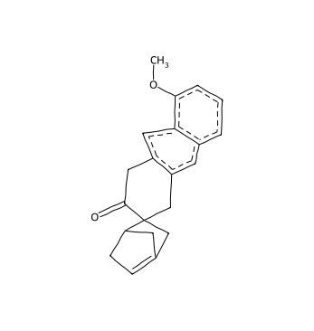 COc1cccc2cc3c(cc12)CC(=O)C1(CC2=CCC1C2)C3